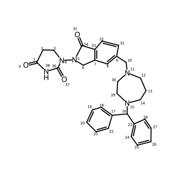 O=C1CCN(N2Cc3cc(CN4CCCN(C(c5ccccc5)c5ccccc5)CC4)ccc3C2=O)C(=O)N1